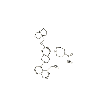 CCc1cccc2cccc(N3CCc4c(nc(OCC56CCCN5CCC6)nc4N4CCCN(C(N)=O)CC4)C3)c12